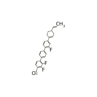 C/C=C/C1CC=C(c2ccc(-c3ccc(-c4ccc(C5CO5)c(F)c4F)cc3)c(F)c2)CC1